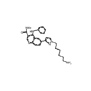 CNC(=O)c1cnc2ccc(-c3ccn(CCCCCCN)n3)cc2c1Nc1ccccc1